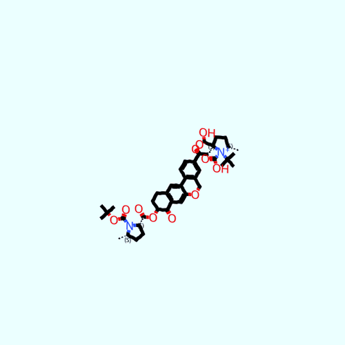 C[C@H]1CC[C@@H](C(=O)OC2CCc3cc4c(cc3C2=O)OCc2cc(C(=O)C[C@]3(C(=O)O)CC[C@H](C)[N+]3(C(=O)O)C(C)(C)C)ccc2-4)N1C(=O)OC(C)(C)C